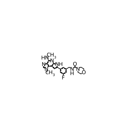 CNc1nc2[nH]c(-c3cc(F)cc(CNC(=O)N4CCOCC4)c3)cc2c2c1ncn2C